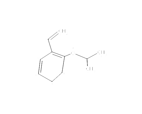 C=CC1=C(OC(C)C)CCC=C1